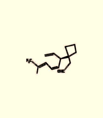 C=C[C@H](/C=C\C=C(/C)C(F)(F)F)C1(CC=O)CCC1